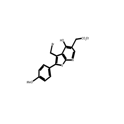 CCOC(=O)Cc1cnc2sc(-c3ccc(OC)cc3)c(CBr)c2c1O